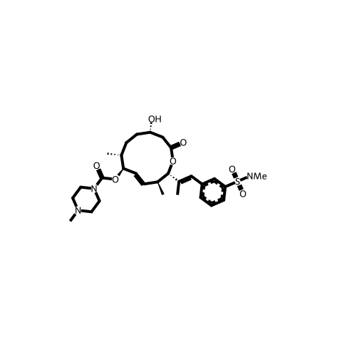 CNS(=O)(=O)c1cccc(/C=C(\C)[C@H]2OC(=O)C[C@@H](O)CC[C@@H](C)[C@H](OC(=O)N3CCN(C)CC3)/C=C/[C@@H]2C)c1